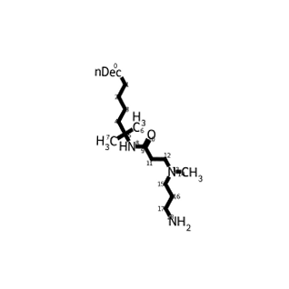 CCCCCCCCCCCCCCC(C)(C)NC(=O)CCN(C)CCCN